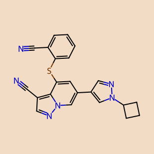 N#Cc1ccccc1Sc1cc(-c2cnn(C3CCC3)c2)cn2ncc(C#N)c12